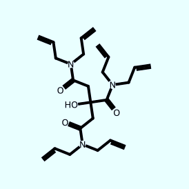 C=CCN(CC=C)C(=O)CC(O)(CC(=O)N(CC=C)CC=C)C(=O)N(CC=C)CC=C